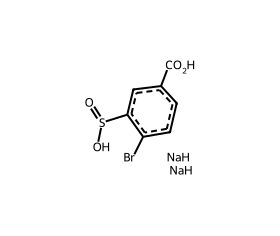 O=C(O)c1ccc(Br)c(S(=O)O)c1.[NaH].[NaH]